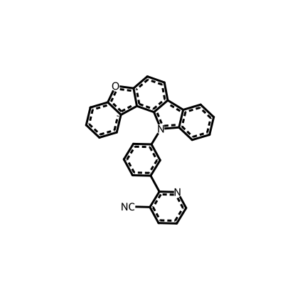 N#Cc1cccnc1-c1cccc(-n2c3ccccc3c3ccc4oc5ccccc5c4c32)c1